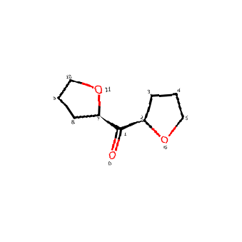 O=C([C@H]1CCCO1)[C@H]1CCCO1